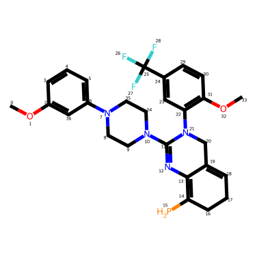 COc1cccc(N2CCN(C3=NC4=C(P)CCC=C4CN3c3cc(C(F)(F)F)ccc3OC)CC2)c1